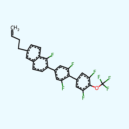 C=CCCc1ccc2c(F)c(-c3cc(F)c(-c4cc(F)c(OC(F)(F)F)c(F)c4)c(F)c3)ccc2c1